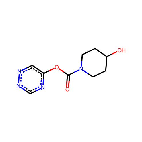 O=C(Oc1cnncn1)N1CCC(O)CC1